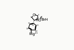 Br.C1CCOC1.CO.[Mg+2][c]1ccccc1